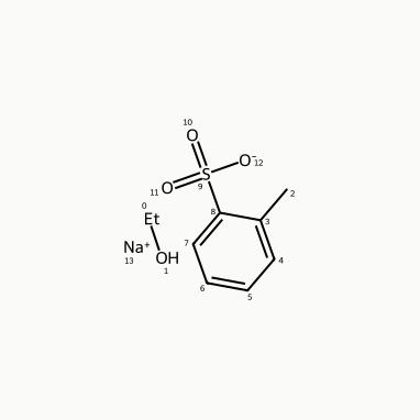 CCO.Cc1ccccc1S(=O)(=O)[O-].[Na+]